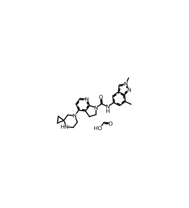 Cc1cc(NC(=O)N2CCc3c(N4CCNC5(CC5)C4)ccnc32)cc2cn(C)nc12.O=CO